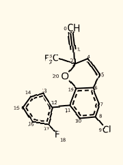 C#CC1(C(F)(F)F)C=Cc2cc(Cl)cc(-c3ccccc3F)c2O1